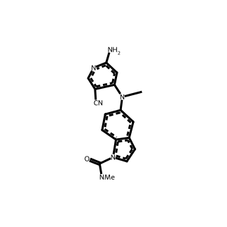 CNC(=O)n1ccc2cc(N(C)c3cc(N)ncc3C#N)ccc21